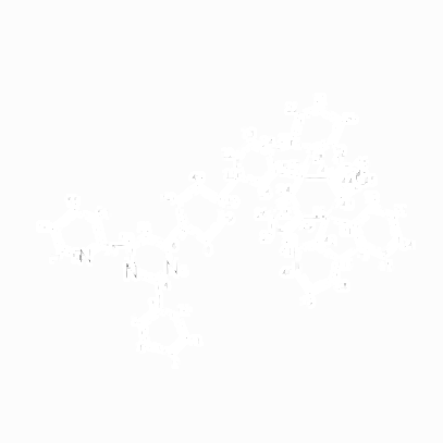 c1ccc(-c2nc(-c3ccc(-c4ccc5c(c4)C4(c6ccccc6-5)c5ccccc5C5(c6ccccc6-c6ccccc65)c5ccccc54)cc3)cc(-c3ccccn3)n2)cc1